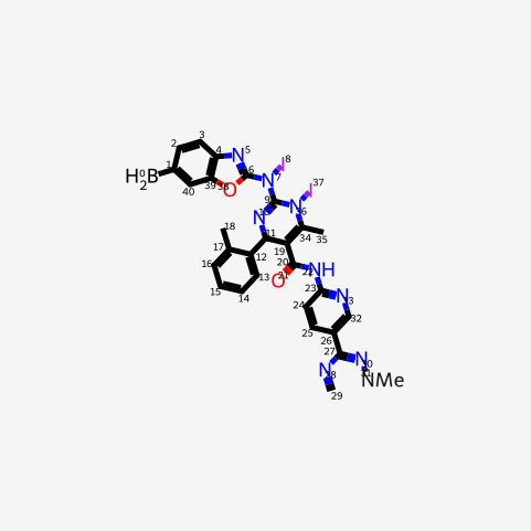 Bc1ccc2nc(N(I)C3=NC(c4ccccc4C)C(C(=O)Nc4ccc(/C(N=C)=N/NC)cn4)=C(C)N3I)oc2c1